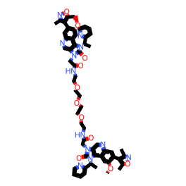 COc1cc2c(cc1-c1c(C)noc1C)ncc1c2n(C(C)c2ccccn2)c(=O)n1CC(=O)NCCOCCOCCOCCNC(=O)Cn1c(=O)n(C(C)c2ccccn2)c2c3cc(OC)c(-c4c(C)noc4C)cc3ncc21